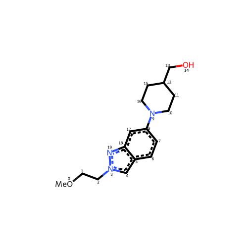 COCCn1cc2ccc(N3CCC(CO)CC3)cc2n1